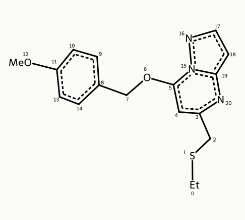 CCSCc1cc(OCc2ccc(OC)cc2)n2nccc2n1